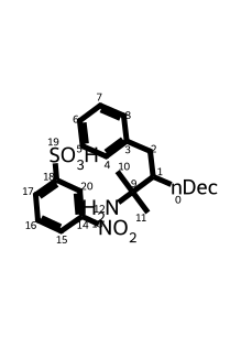 CCCCCCCCCCC(Cc1ccccc1)C(C)(C)N.O=[N+]([O-])c1cccc(S(=O)(=O)O)c1